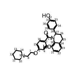 O=C(c1ccc(OCCN2CCCCC2)cc1)N1c2c(O)cccc2CCC1c1ccc(O)cc1